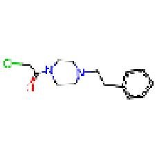 O=C(CCl)N1CCN(CCc2ccccc2)CC1